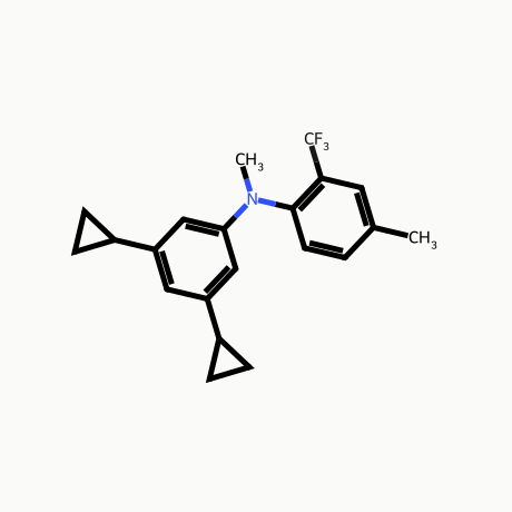 Cc1ccc(N(C)c2cc(C3CC3)cc(C3CC3)c2)c(C(F)(F)F)c1